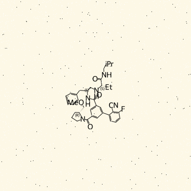 CC[C@H](NC[C@H](Cc1ccccc1)NC(=O)c1cc(C(=O)N2CCC[C@@H]2COC)cc(-c2cccc(F)c2C#N)c1)C(=O)NCC(C)C